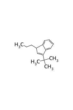 CCCC1C=C(C(C)(C)C)c2ccccc21